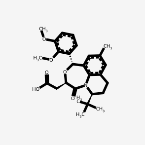 COc1cccc([C@H]2O[C@H](CC(=O)O)C(=O)N3c4c(cc(C)cc42)CC[C@H]3C(C)(C)C)c1OC